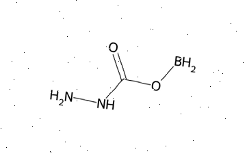 BOC(=O)NN